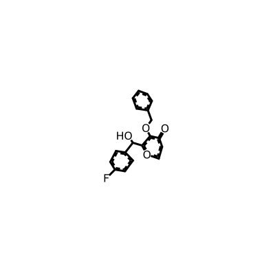 O=c1ccoc(C(O)c2ccc(F)cc2)c1OCc1ccccc1